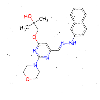 CC(C)(O)COc1cc(C=NNc2ccc3ccccc3c2)nc(N2CCOCC2)n1